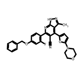 Cc1n[nH]c2nc(-c3ccc(OCc4ccccc4)cc3F)c(C#N)c(-c3ccc(N4CCOCC4)o3)c12